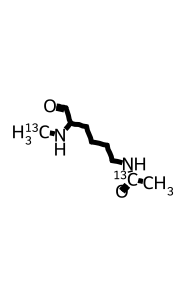 C[13C](=O)NCCCCC(C=O)N[13CH3]